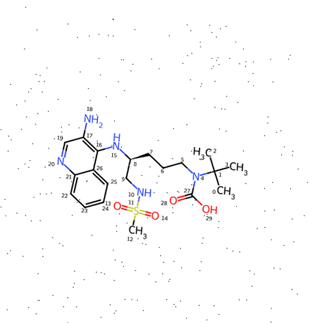 CC(C)(C)N(CCC[C@@H](CNS(C)(=O)=O)Nc1c(N)cnc2ccccc12)C(=O)O